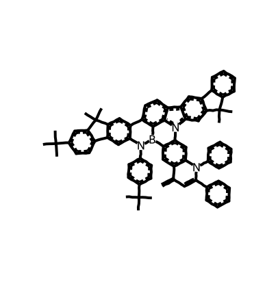 C=C1C=C(c2ccccc2)N(c2ccccc2)c2cc3c(cc21)B1c2c(ccc4c5cc6c(cc5n-3c24)C(C)(C)c2ccccc2-6)-c2cc3c(cc2N1c1ccc(C(C)(C)C)cc1)-c1ccc(C(C)(C)C)cc1C3(C)C